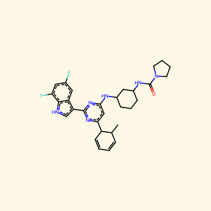 CC1C=CC=CC1c1cc(NC2CCCC(NC(=O)N3CCCC3)C2)nc(-c2c[nH]c3c(F)cc(F)cc23)n1